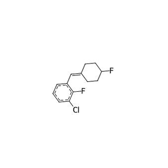 Fc1c(Cl)cccc1C=C1CCC(F)CC1